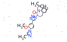 C=C(C)CN1C(=O)C(n2cc(C3=CC(OC)C(n4cnc(C)c4)C=C3)nn2)CCc2ccccc21